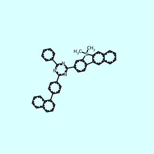 C[Si]1(C)c2cc(-c3nc(-c4ccccc4)nc(-c4ccc(-c5cccc6ccccc56)cc4)n3)ccc2-c2cc3ccccc3cc21